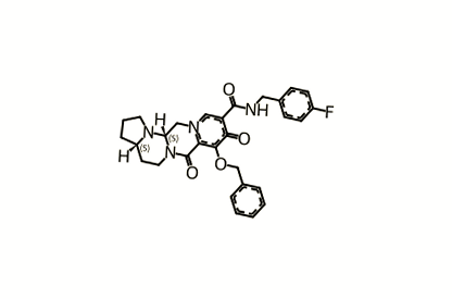 O=C(NCc1ccc(F)cc1)c1cn2c(c(OCc3ccccc3)c1=O)C(=O)N1CC[C@@H]3CCCN3[C@@H]1C2